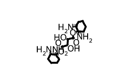 N[C@H]1CCCC[C@]1(N)OC(=O)C(O)C(O)C(=O)O[C@@]1(N)CCCC[C@@H]1N